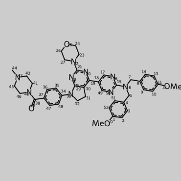 COc1ccc(CN(Cc2ccc(OC)cc2)c2ncc(-c3nc(N4CCOCC4)nc4c3CCN4c3ccc(C(=O)N4CCN(C)CC4)cc3)cn2)cc1